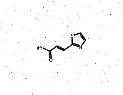 CC(C)C(=O)/C=C/c1nccs1